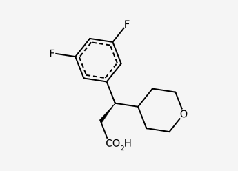 O=C(O)C[C@@H](c1cc(F)cc(F)c1)C1CCOCC1